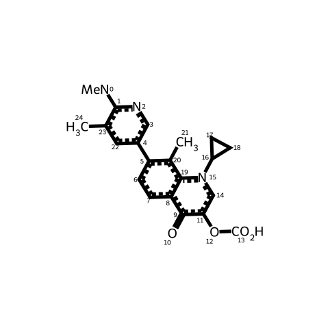 CNc1ncc(-c2ccc3c(=O)c(OC(=O)O)cn(C4CC4)c3c2C)cc1C